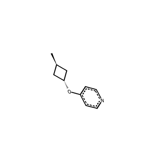 C[C@H]1C[C@H](Oc2ccncc2)C1